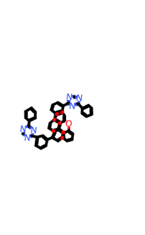 c1ccc(-c2ncnc(-c3cccc(-c4cccc(-c5ccccc5Oc5ccccc5-c5cccc(-c6cccc(-c7ncnc(-c8ccccc8)n7)c6)c5)c4)c3)n2)cc1